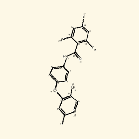 Cc1cc(Oc2ccc(NC(=O)c3c(F)cc(F)cc3F)cc2)c(C(F)(F)F)cn1